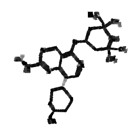 CC[C@H](C)Nc1ncc2c(OC3CC(C)(C)NC(C)(C)C3)ncc([C@H]3CC[C@H](O)CC3)c2n1